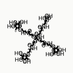 CC1[C@H](OCCCNC(=O)CCOCC(COCCC(=O)NCCCO[C@@H]2OC(CO)[C@H](O)[C@H](O)C2C)(COCCC(=O)NCCCO[C@@H]2OC(CO)[C@H](O)[C@H](O)C2C)NC(=O)CCCC(=O)NCCCOP(=O)(O)O)OC(CO)[C@H](O)[C@@H]1O